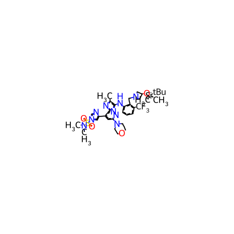 Cc1nc2c(-c3cn(S(=O)(=O)N(C)C)cn3)cc(N3CCOCC3)nn2c1Nc1cccc(C(F)(F)F)c1CN1CC(O[Si](C)(C)C(C)(C)C)C1